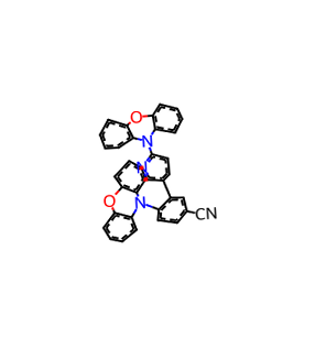 N#Cc1ccc(N2c3ccccc3Oc3ccccc32)c(-c2ccc(N3c4ccccc4Oc4ccccc43)nc2)c1